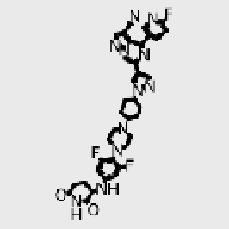 N#Cc1cnn2cc(-c3cnn([C@H]4CC[C@@H](N5CCN(c6c(F)cc(NC7CCC(=O)NC7=O)cc6F)CC5)CC4)c3)nc(-c3ccc(F)nc3)c12